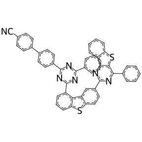 N#Cc1ccc(-c2ccc(-c3nc(-c4ccccc4)nc(-c4cccc5sc6ccc(-c7nc(-c8ccccc8)c8sc9ccccc9c8n7)cc6c45)n3)cc2)cc1